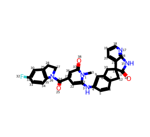 Cn1c(Nc2ccc3c(c2)CC2(C3)C(=O)Nc3ncccc32)cc(C(=O)N2CCc3cc(F)ccc32)cc1=O